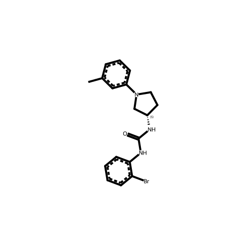 Cc1cccc(N2CC[C@H](NC(=O)Nc3ccccc3Br)C2)c1